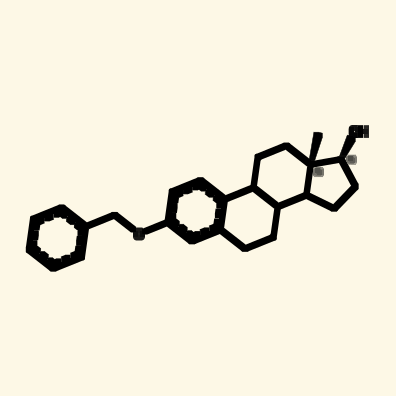 C[C@]12CCC3c4ccc(OCc5ccccc5)cc4CCC3C1CC[C@@H]2O